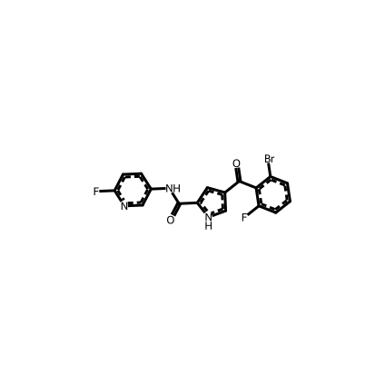 O=C(Nc1ccc(F)nc1)c1cc(C(=O)c2c(F)cccc2Br)c[nH]1